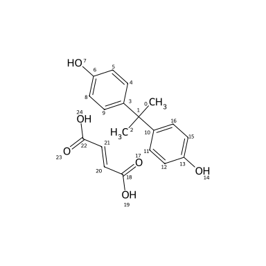 CC(C)(c1ccc(O)cc1)c1ccc(O)cc1.O=C(O)/C=C/C(=O)O